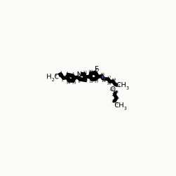 C=CCc1ccc(-c2ccc(-c3ccc(/C=C/CCCC(C)OCCCCC)c(F)c3)cn2)cc1